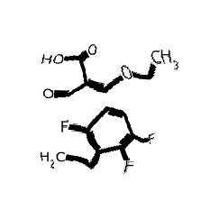 C=Cc1c(F)ccc(F)c1F.CCOC=C(C=O)C(=O)O